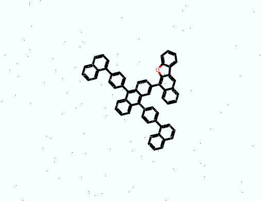 c1ccc2c(-c3ccc(-c4c5ccccc5c(-c5ccc(-c6cccc7ccccc67)cc5)c5cc(-c6c7ccccc7cc7c6oc6ccccc67)ccc45)cc3)cccc2c1